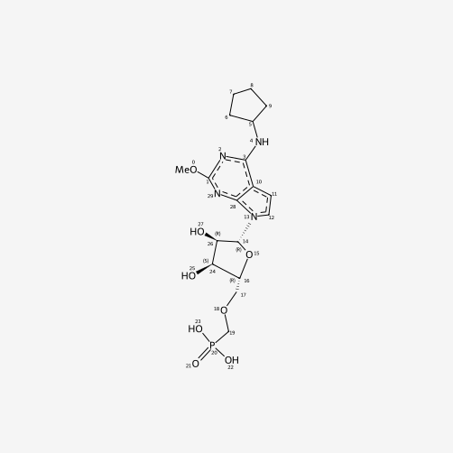 COc1nc(NC2CCCC2)c2ccn([C@@H]3O[C@H](COCP(=O)(O)O)[C@@H](O)[C@H]3O)c2n1